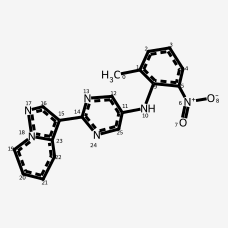 Cc1cccc([N+](=O)[O-])c1Nc1cnc(-c2cnn3ccccc23)nc1